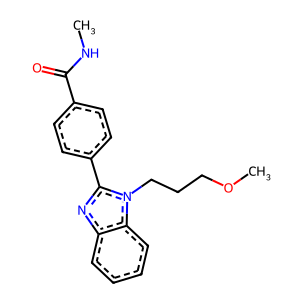 CNC(=O)c1ccc(-c2nc3ccccc3n2CCCOC)cc1